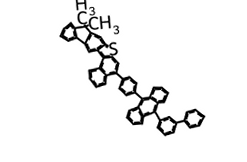 CC1(C)c2ccccc2-c2cc3c(cc21)sc1cc(-c2ccc(-c4c5ccccc5c(-c5cccc(-c6ccccc6)c5)c5ccccc45)cc2)c2ccccc2c13